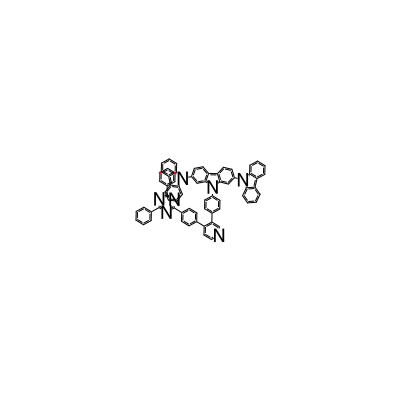 c1ccc(-c2nc(-c3ccccc3)nc(-c3ccc(-c4ccncc4-c4ccc(-n5c6cc(-n7c8ccccc8c8ccccc87)ccc6c6ccc(-n7c8ccccc8c8ccccc87)cc65)cc4)cc3)n2)cc1